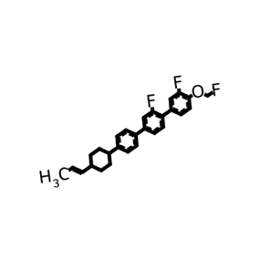 C/C=C/C1CCC(c2ccc(-c3ccc(-c4ccc(OCF)c(F)c4)c(F)c3)cc2)CC1